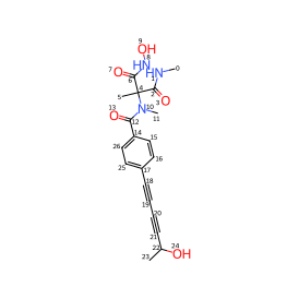 CNC(=O)C(C)(C(=O)NO)N(C)C(=O)c1ccc(C#CC#CC(C)O)cc1